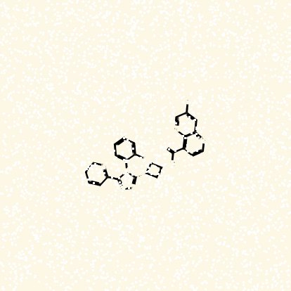 O=C(N[C@H]1C[C@H](c2nnc(C3=NCCC=C3)n2-c2ccccc2F)C1)c1ccnc2cc(F)cnc12